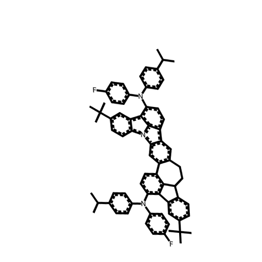 CC(C)c1ccc(N(c2ccc(F)cc2)c2ccc3c4c2-c2cc(C(C)(C)C)ccc2C4CCc2cc4c5ccc(N(c6ccc(F)cc6)c6ccc(C(C)C)cc6)c6c7cc(C(C)(C)C)ccc7n(c4cc2-3)c56)cc1